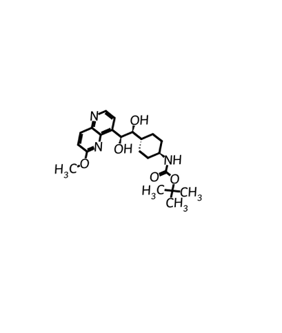 COc1ccc2nccc([C@H](O)[C@@H](O)[C@H]3CC[C@H](NC(=O)OC(C)(C)C)CC3)c2n1